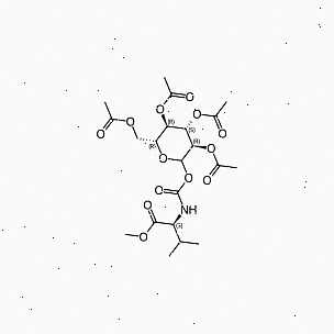 COC(=O)[C@@H](NC(=O)OC1O[C@H](COC(C)=O)[C@@H](OC(C)=O)[C@H](OC(C)=O)[C@H]1OC(C)=O)C(C)C